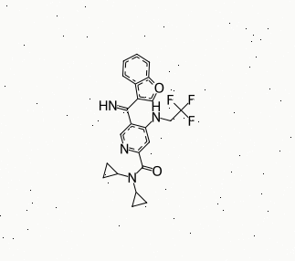 N=C(c1cnc(C(=O)N(C2CC2)C2CC2)cc1NCC(F)(F)F)c1coc2ccccc12